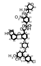 CC1(C)CCC(CN2CCN(c3ccc(C(=O)NS(=O)(=O)c4ccc(NCC5(N)CCOCC5)c([N+](=O)[O-])c4)c(Oc4cccc5[nH]ccc45)c3)CC2)=C(c2ccc(Cl)cc2)C1